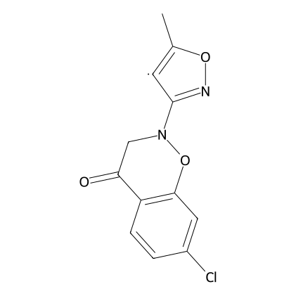 Cc1[c]c(N2CC(=O)c3ccc(Cl)cc3O2)no1